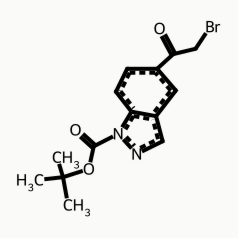 CC(C)(C)OC(=O)n1ncc2cc(C(=O)CBr)ccc21